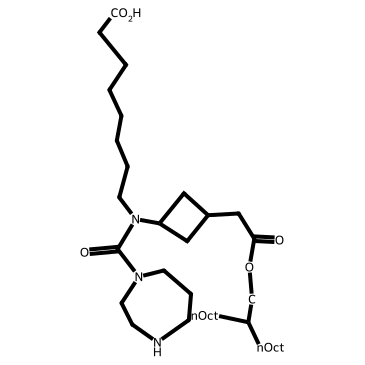 CCCCCCCCC(CCCCCCCC)COC(=O)CC1CC(N(CCCCCCCC(=O)O)C(=O)N2CCCNCC2)C1